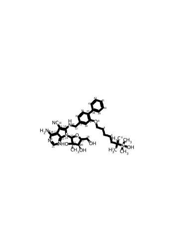 CC(C)(CCCCCOc1cc(CNc2c(C#N)c3c(N)ncnc3n2C2OC(CO)[C@@H](O)[C@@]2(C)O)ccc1-c1ccccc1)[Si](C)(C)O